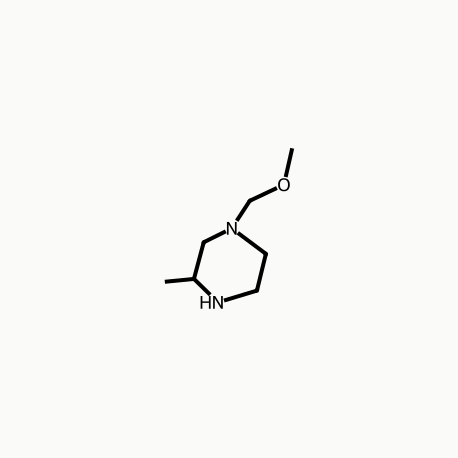 COCN1CCNC(C)C1